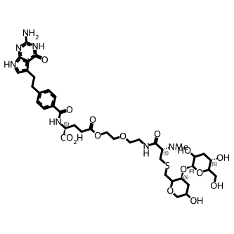 CN[C@H](CSCC1OCC(O)C[C@@H]1O[C@@H]1OC(CO)[C@@H](O)CC1O)C(=O)NCCOCCOC(=O)CC[C@H](NC(=O)c1ccc(CCc2c[nH]c3nc(N)[nH]c(=O)c23)cc1)C(=O)O